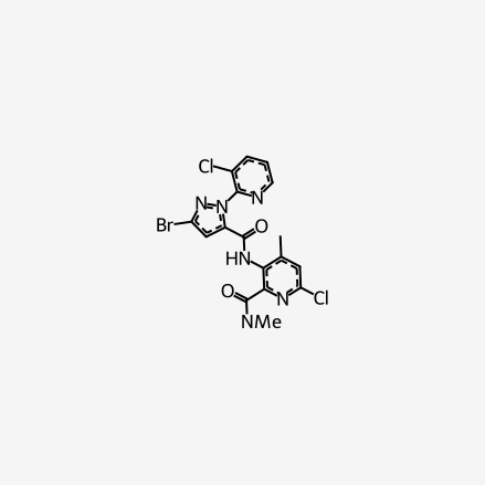 CNC(=O)c1nc(Cl)cc(C)c1NC(=O)c1cc(Br)nn1-c1ncccc1Cl